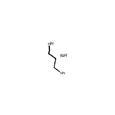 [CH2]CCCCCCCC.[NaH]